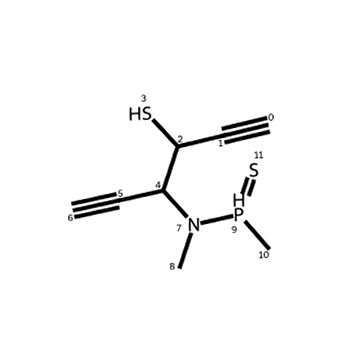 C#CC(S)C(C#C)N(C)[PH](C)=S